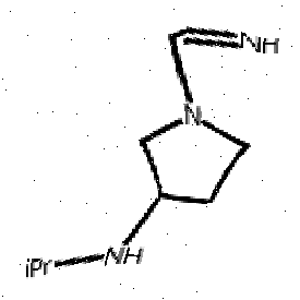 CC(C)NC1CCN(C=N)C1